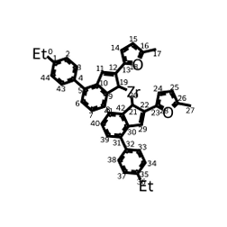 CCc1ccc(-c2cccc3c2C=C(c2ccc(C)o2)[CH]3[Zr][CH]2C(c3ccc(C)o3)=Cc3c(-c4ccc(CC)cc4)cccc32)cc1